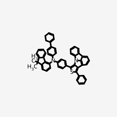 CC1(C)c2ccccc2-c2c(N(c3ccc(C4=CC=CCC4)cc3)c3ccc(-c4sc(-c5ccccc5)c5c6cccc7c8ccccc8n(c45)c76)cc3)cccc21